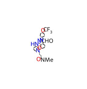 CNC(=O)CCCn1cccc(N/C(=N/N(C=O)c2ccc(OC(F)(F)F)cc2)c2ccccc2C)c1=O